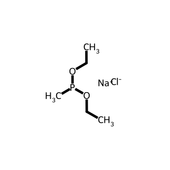 CCOP(C)OCC.[Cl-].[Na+]